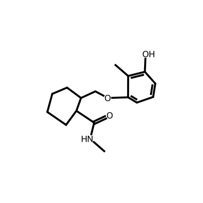 CNC(=O)C1CCCCC1COc1cccc(O)c1C